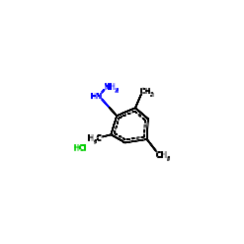 Cc1cc(C)c(NN)c(C)c1.Cl